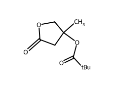 CC1(OC(=O)C(C)(C)C)COC(=O)C1